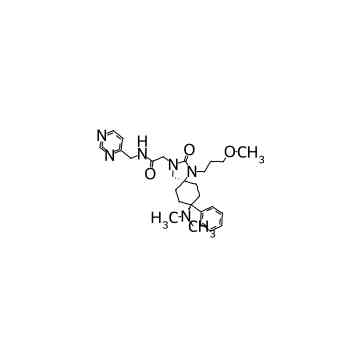 COCCCN1C(=O)N(CC(=O)NCc2ccncn2)C[C@]12CC[C@](c1ccccc1)(N(C)C)CC2